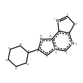 C1=Nc2c(ncn3cc(C4CCCCC4)nc23)C1